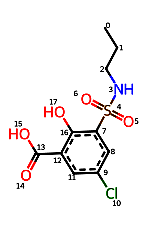 CCCNS(=O)(=O)c1cc(Cl)cc(C(=O)O)c1O